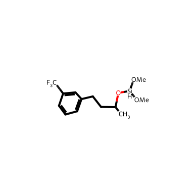 CO[SiH](OC)OC(C)CCc1cccc(C(F)(F)F)c1